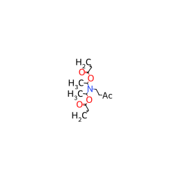 C=CC(=O)OC(C)N(CCC(C)=O)C(C)OC(=O)C=C